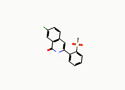 CS(=O)(=O)c1ccccc1-c1cc2ccc(Br)cc2c(=O)[nH]1